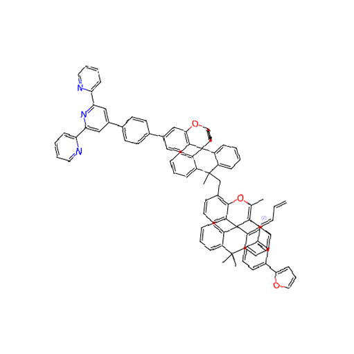 C=C/C=C(\C1=C(C)Oc2c(CC3(C)c4ccccc4C4(c5ccccc5Oc5cc(-c6ccc(-c7cc(-c8ccccn8)nc(-c8ccccn8)c7)cc6)ccc54)c4ccccc43)cccc2C12c1ccccc1C(C)(C)c1ccccc12)c1cccc(-c2ccco2)c1